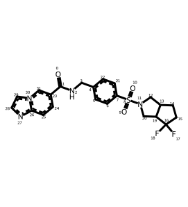 O=C(NCc1ccc(S(=O)(=O)N2CC3CCC(F)(F)C3C2)cc1)c1ccc2nccn2c1